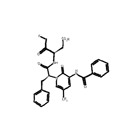 O=C(O)C[C@@H](NC(=O)[C@H](Cc1ccccc1)n1cc(C(F)(F)F)cc(NC(=O)c2ccccc2)c1=O)C(=O)CF